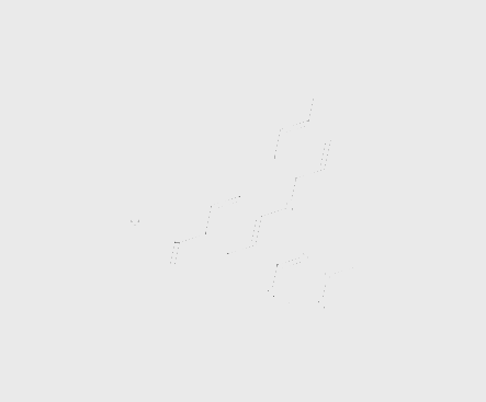 COC(=O)c1ccc(Nc2ccc(C(F)(F)F)cc2)c(/C(N)=N/N(C)N)c1